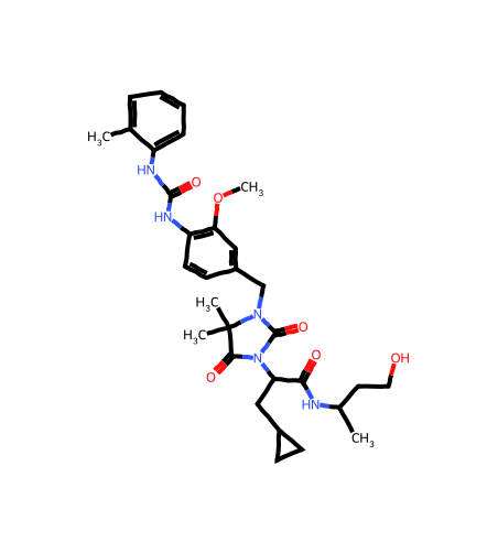 COc1cc(CN2C(=O)N(C(CC3CC3)C(=O)NC(C)CCO)C(=O)C2(C)C)ccc1NC(=O)Nc1ccccc1C